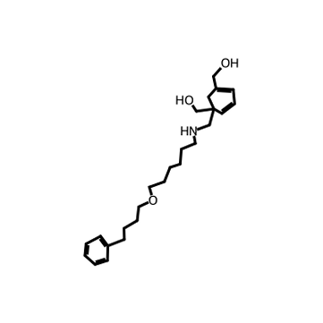 OCC1=CC=CC(CO)(CNCCCCCCOCCCCc2ccccc2)C1